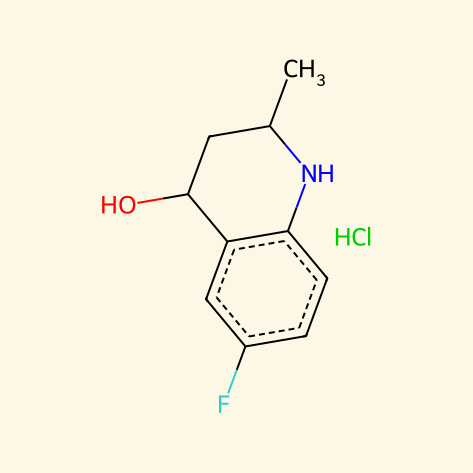 CC1CC(O)c2cc(F)ccc2N1.Cl